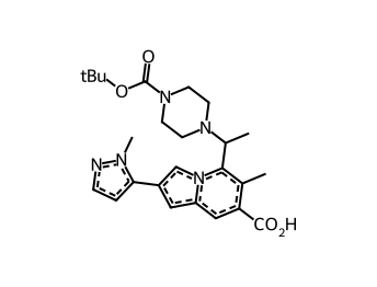 Cc1c(C(=O)O)cc2cc(-c3ccnn3C)cn2c1C(C)N1CCN(C(=O)OC(C)(C)C)CC1